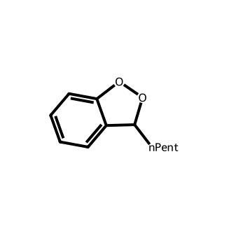 CCCCCC1OOc2ccccc21